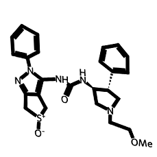 COCCN1C[C@@H](NC(=O)Nc2c3c(nn2-c2ccccc2)C[S+]([O-])C3)[C@H](c2ccccc2)C1